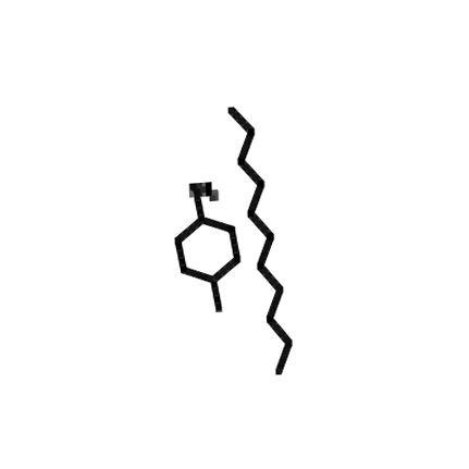 CC1CCC(N)CC1.CCCCCCCCCCC